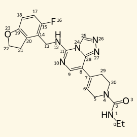 CCNC(=O)N1CC=C(c2cnc(NCc3c(F)ccc4c3CCO4)n3cnnc23)CC1